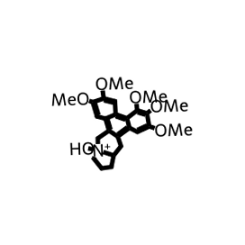 COc1cc2c3c(c4cc(OC)c(OC)c(OC)c4c2cc1OC)CC1CCC[N+]1(O)C3